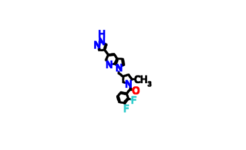 CC1CC(Cn2ccc3cc(-c4cn[nH]c4)cnc32)CN1C(=O)c1cccc(F)c1F